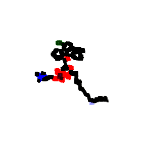 CCCCCCCC/C=C\CCCCCCCC(=O)O[C@H](COC(c1ccccc1)(c1ccccc1)c1cc(Cl)ccc1OC)COP(=O)([O-])OCC[N+](C)(C)C